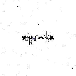 C/C(=N\NC(=O)OC(C)(C)C)OCCCNC(=O)OC(C)(C)C